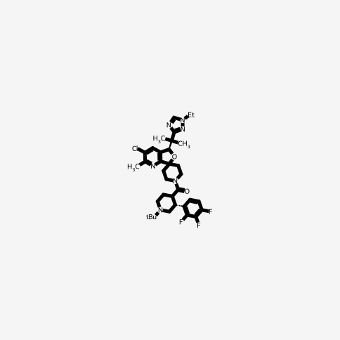 CCn1cnc(C(C)(C)[C@H]2OC3(CCN(C(=O)C4CCN(C(C)(C)C)C[C@H]4c4ccc(F)c(F)c4F)CC3)c3nc(C)c(Cl)cc32)n1